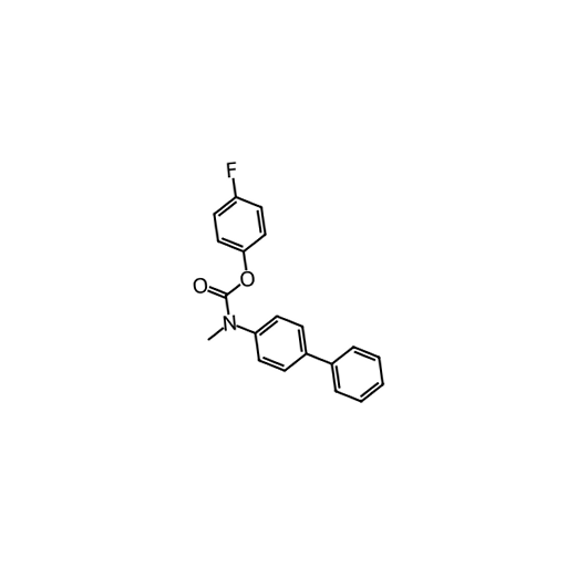 CN(C(=O)Oc1ccc(F)cc1)c1ccc(-c2ccccc2)cc1